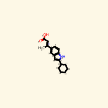 C/C(=C\C(=O)O)c1ccc2[nH]c(C3CCCCC3)cc2c1